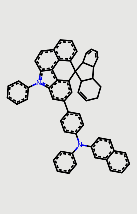 C1=CC2C3CCC=CC3C3(c4cccc5ccc6c(c45)c4c3cc(-c3ccc(N(c5ccccc5)c5ccc7ccccc7c5)cc3)cc4n6-c3ccccc3)C2C=C1